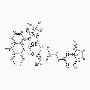 CN1c2ccccc2C(C(=O)Oc2c(Br)cc(CCC(=O)ON3C(=O)CCC3=O)cc2Br)c2c(OS(=O)(=O)C(F)(F)F)cccc21